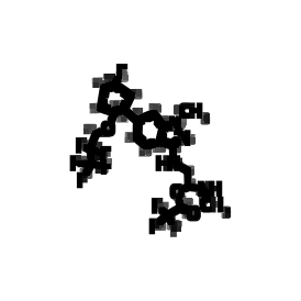 CNC(CNc1nn(C)c2cc(-c3cc(F)ccc3OCC(F)(F)C(F)(F)F)ccc12)OC(=O)C(F)(F)F